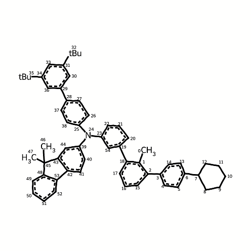 Cc1c(-c2ccc(C3CCCCC3)cc2)cccc1-c1cccc(N(c2ccc(-c3cc(C(C)(C)C)cc(C(C)(C)C)c3)cc2)c2ccc3c(c2)C(C)(C)c2ccccc2-3)c1